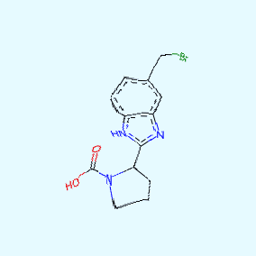 O=C(O)N1CCCC1c1nc2cc(CBr)ccc2[nH]1